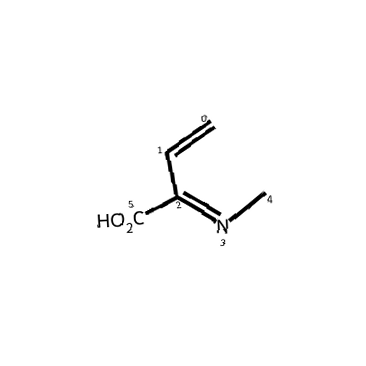 C=C/C(=N\C)C(=O)O